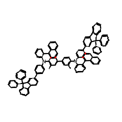 Cc1cc(-c2ccc(N(c3ccc(-c4ccc5c(c4)C(c4ccccc4)(c4ccccc4)c4ccccc4-5)cc3)c3ccccc3-c3cccc4ccccc34)c(C)c2)ccc1N(c1ccc(-c2ccc3c(c2)C(c2ccccc2)(c2ccccc2)c2ccccc2-3)cc1)c1ccccc1-c1cccc2ccccc12